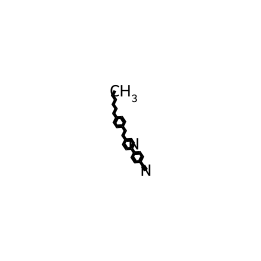 CCCCCCc1ccc(CCc2ccc(-c3ccc(C#N)cc3)nc2)cc1